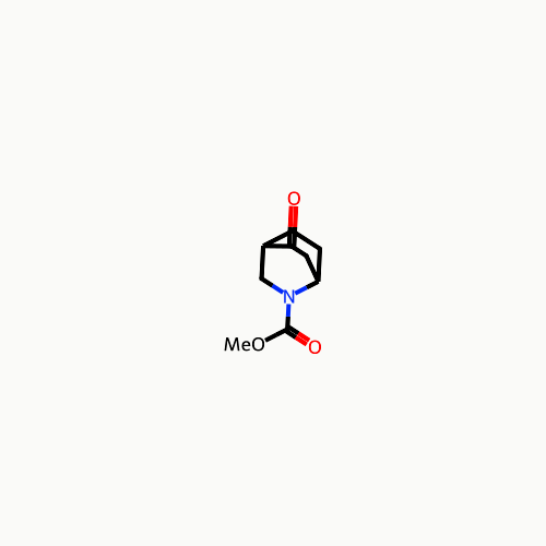 COC(=O)N1CC2CCC1CC2=O